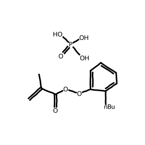 C=C(C)C(=O)OOc1ccccc1CCCC.O=P(O)(O)O